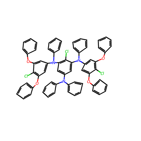 Clc1c(Oc2ccccc2)cc(N(c2ccccc2)c2cc(N(c3ccccc3)c3ccccc3)cc(N(c3ccccc3)c3cc(Oc4ccccc4)c(Cl)c(Oc4ccccc4)c3)c2Cl)cc1Oc1ccccc1